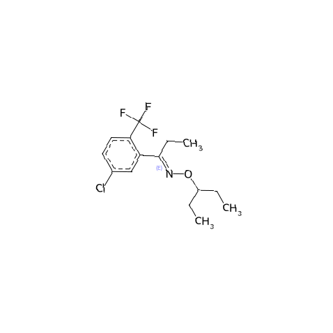 CC/C(=N\OC(CC)CC)c1cc(Cl)ccc1C(F)(F)F